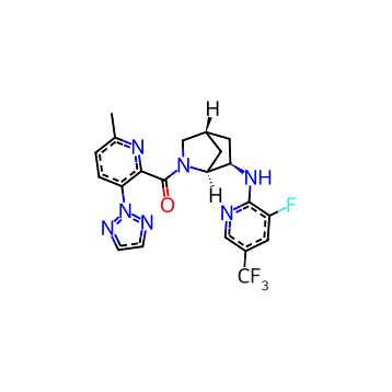 Cc1ccc(-n2nccn2)c(C(=O)N2C[C@@H]3C[C@@H](Nc4ncc(C(F)(F)F)cc4F)[C@@H]2C3)n1